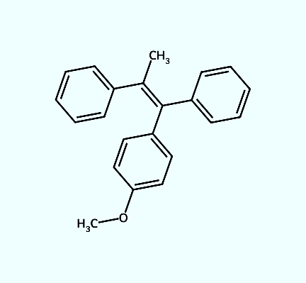 COc1ccc(C(=C(C)c2ccccc2)c2ccccc2)cc1